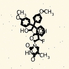 COc1ccc(C(c2ccccc2)(c2ccc(OC)cc2)C(O)[C@H]2O[C@@H](n3cc(C)c(=O)[nH]c3=O)[C@H](F)[C@@H]2O)cc1